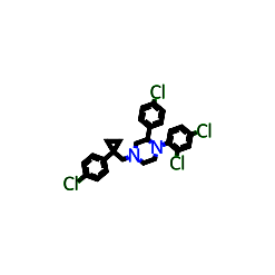 Clc1ccc(C2CN(CC3(c4ccc(Cl)cc4)CC3)CCN2c2ccc(Cl)cc2Cl)cc1